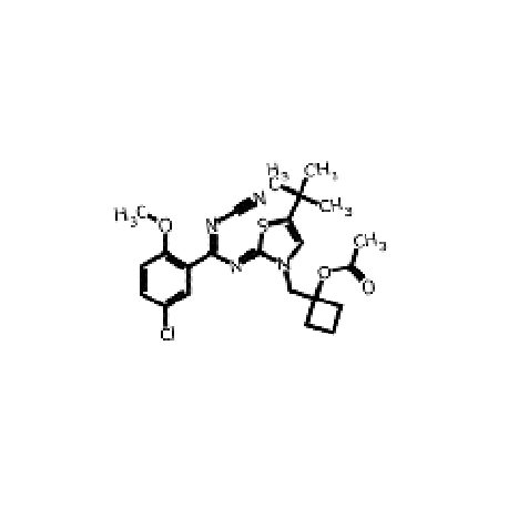 COc1ccc(Cl)cc1C(=NC#N)N=c1sc(C(C)(C)C)cn1CC1(OC(C)=O)CCC1